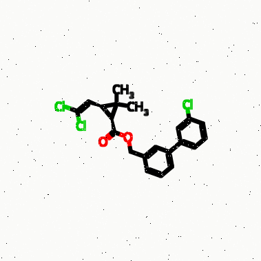 CC1(C)[C@H](C=C(Cl)Cl)[C@@H]1C(=O)OCc1cccc(-c2cccc(Cl)c2)c1